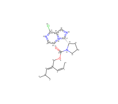 C/C=C\C(=C/C(C)C)COC(=O)N1CCC[C@H]1c1ncc2c(Cl)nccn12